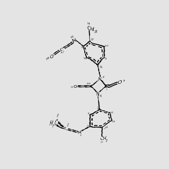 C=C=Nc1cc(N2C(=O)N(c3ccc(C)c(N=C=O)c3)C2=O)ccc1C